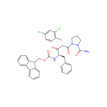 NC(=O)N1CCCN1C(=O)[C@@H](Cc1ccc(Cl)cc1Cl)C(=O)[C@@H](Cc1ccccc1)NC(=O)OCC1c2ccccc2-c2ccccc21